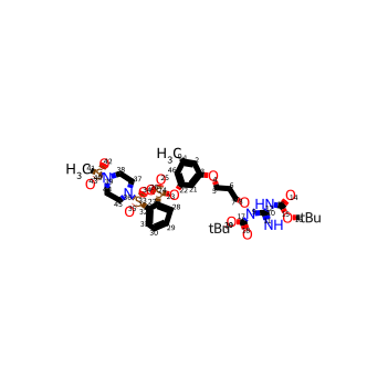 Cc1cc(OCCCON(C(=N)NC(=O)OC(C)(C)C)C(=O)OC(C)(C)C)cc(OS(=O)(=O)c2ccccc2S(=O)(=O)N2CCN(S(C)(=O)=O)CC2)c1